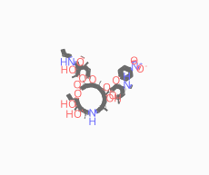 CCCNC[C@]1(O)[C@H](C)O[C@@H](O[C@H]2[C@H](C)[C@@H](O[C@@H]3O[C@H](C)C[C@H](NC)[C@H]3Oc3ccc([N+](=O)[O-])cc3)[C@](C)(O)C[C@@H](C)CN[C@H](C)[C@@H](O)[C@](C)(O)[C@@H](CC)OC(=O)[C@@H]2C)C[C@@]1(C)OC